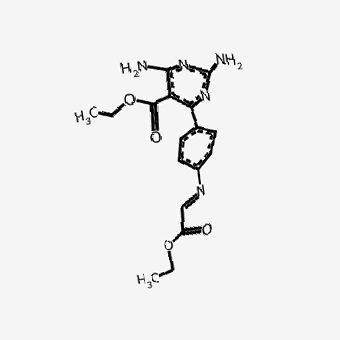 CCOC(=O)C=Nc1ccc(-c2nc(N)nc(N)c2C(=O)OCC)cc1